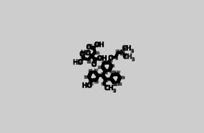 CCC(=C(c1ccc(OCCN(C)C)cc1)c1cccc(O)c1)c1ccccc1.O=C(O)CC(O)(CC(=O)O)C(=O)O